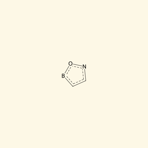 b1ccno1